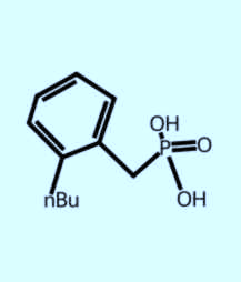 CCCCc1ccccc1CP(=O)(O)O